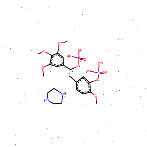 C1CNCCN1.COc1ccc(C[C@@H](OP(=O)(O)O)c2cc(OC)c(OC)c(OC)c2)cc1OP(=O)(O)O